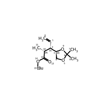 C=C[C@H]([C@@H]1COC(C)(C)O1)[C@@H](C)C(=O)OC(C)(C)C